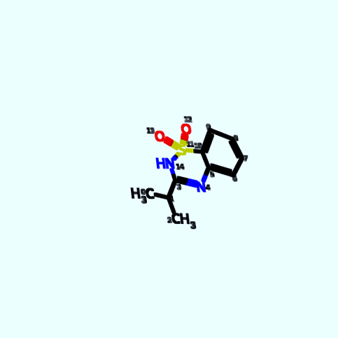 CC(C)C1=Nc2ccccc2S(=O)(=O)N1